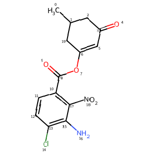 CC1CC(=O)C=C(OC(=O)c2ccc(Cl)c(N)c2[N+](=O)[O-])C1